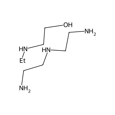 CCNCCO.NCCNCCN